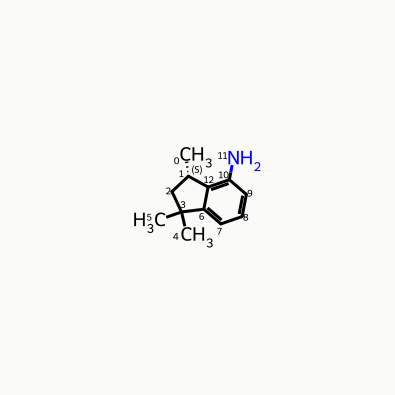 C[C@H]1CC(C)(C)c2cccc(N)c21